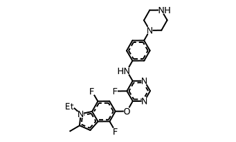 CCn1c(C)cc2c(F)c(Oc3ncnc(Nc4ccc(N5CCNCC5)cc4)c3F)cc(F)c21